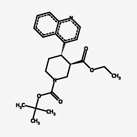 CCOC(=O)[C@H]1CN(C(=O)OC(C)(C)C)CC[C@@H]1c1ccnc2ccccc12